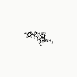 CCCC(CCCC(=O)c1ccc(F)cc1)C1CNCCN1C(N)=O